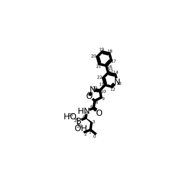 CC(C)C[C@H](NC(=O)C1CC(c2cncc(-c3ccccc3)c2)=NO1)B(O)O